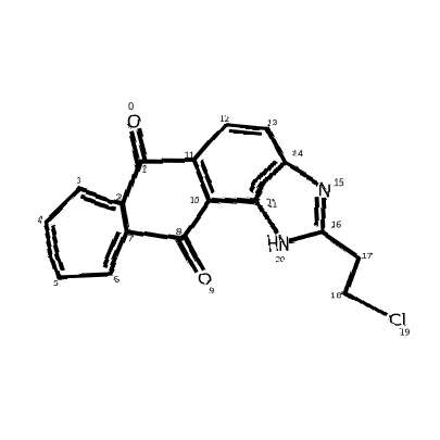 O=C1c2ccccc2C(=O)c2c1ccc1nc(CCCl)[nH]c21